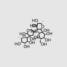 C[C@@H]1OC([C@]2(O)C(O)O[C@H](CO)[C@@H](O[C@@H]3O[C@H](CO)[C@H](O)[C@H](O)[C@]3(O)C3O[C@@H](C)[C@@H](O)[C@@H](O)[C@@H]3O)[C@@H]2O)[C@@H](O)[C@H](O)[C@@H]1O